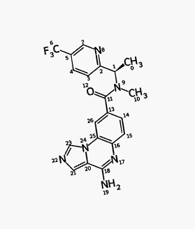 C[C@H](c1ccc(C(F)(F)F)cn1)N(C)C(=O)c1ccc2nc(N)c3cncn3c2c1